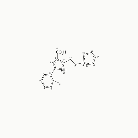 Cc1ccccc1-c1nc(C(=O)O)c(CCc2ccccc2)[nH]1